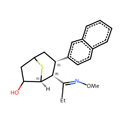 CCC(=NOC)[C@H]1[C@@H](c2ccc3ccccc3c2)CC2CC(O)[C@H]1S2